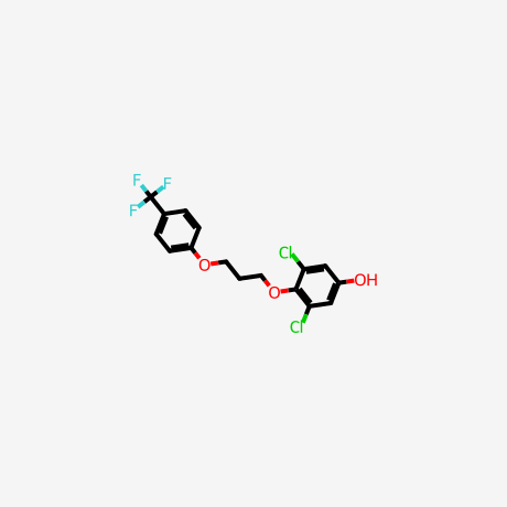 Oc1cc(Cl)c(OCCCOc2ccc(C(F)(F)F)cc2)c(Cl)c1